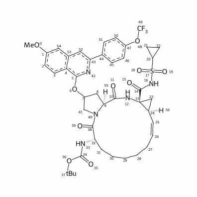 COc1ccc2c(OC3C[C@H]4C(=O)N[C@]5(C(=O)NS(=O)(=O)C6CC6)C[C@H]5/C=C\CCCCC[C@H](NC(=O)OC(C)(C)C)C(=O)N4C3)nc(-c3ccc(OC(F)(F)F)cc3)cc2c1